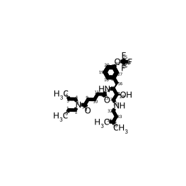 CCCN(CCC)C(=O)CCCC(=O)N[C@@H](Cc1cccc(OC(F)(F)F)c1)[C@H](O)CNCCC(C)C